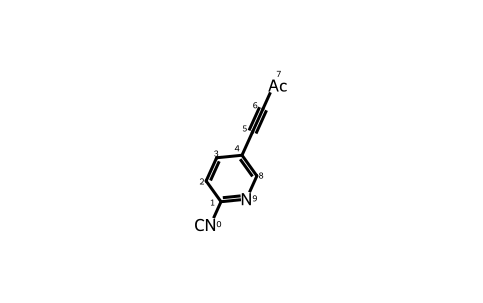 [C-]#[N+]c1ccc(C#CC(C)=O)cn1